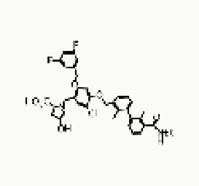 CCNC(=O)c1cccc(-c2cccc(COc3cc(OCc4cc(F)cc(F)c4)c(CN4CC(O)CC4C(=O)O)cc3Cl)c2C)c1C